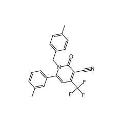 Cc1ccc(Cn2c(-c3cccc(C)c3)cc(C(F)(F)F)c(C#N)c2=O)cc1